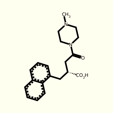 CN1CCN(C(=O)C[C@@H](Cc2cccc3ccccc23)C(=O)O)CC1